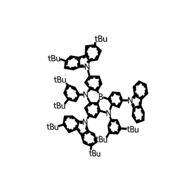 CC(C)(C)c1cc(N2c3cc(-n4c5ccccc5c5ccccc54)ccc3B3c4ccc(-n5c6ccc(C(C)(C)C)cc6c6cc(C(C)(C)C)ccc65)cc4N(c4cc(C(C)(C)C)cc(C(C)(C)C)c4)c4cc(-n5c6ccc(C(C)(C)C)cc6c6cc(C(C)(C)C)ccc65)cc2c43)cc(C(C)(C)C)c1